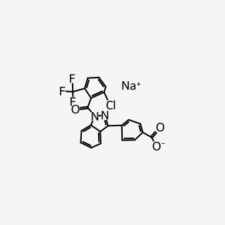 O=C([O-])c1ccc(-c2nn(C(=O)c3c(Cl)cccc3C(F)(F)F)c3ccccc23)cc1.[Na+]